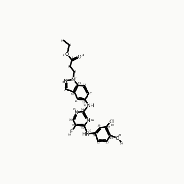 CCOC(=O)CCn1ncc2cc(Nc3ncc(F)c(Nc4ccc(OC)c(Cl)c4)n3)ccc21